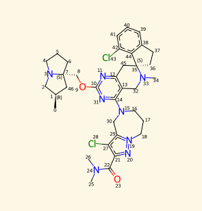 C[C@H]1CN2CCC[C@@]2(COc2nc3c(c(N4CCCn5nc(C(=O)N(C)C)c(Cl)c5C4)n2)CN(C)[C@@]2(CCc4cccc(Cl)c42)C3)C1